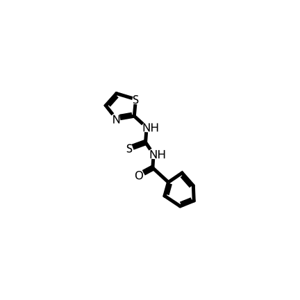 O=C(NC(=S)Nc1nccs1)c1ccccc1